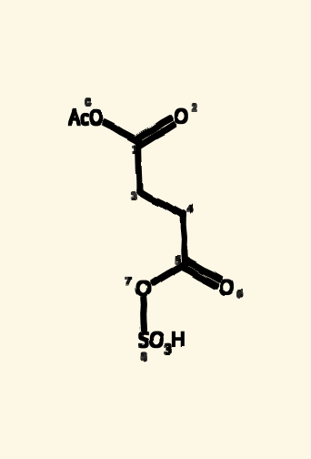 CC(=O)OC(=O)CCC(=O)OS(=O)(=O)O